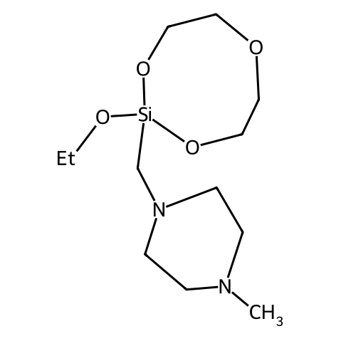 CCO[Si]1(CN2CCN(C)CC2)OCCOCCO1